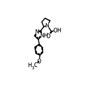 COc1ccc(-c2cnc(C3CCCN3C(=O)O)[nH]2)cc1